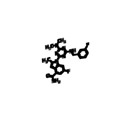 Cc1cc2c(C(N)=O)cc(F)cc2n1-c1nc(NCc2cccc(F)c2)nc(N(C)C)n1